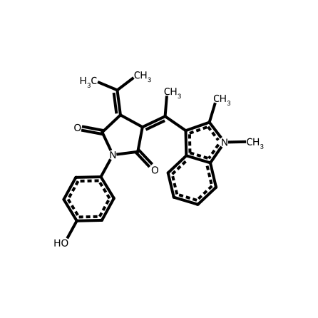 CC(C)=C1C(=O)N(c2ccc(O)cc2)C(=O)C1=C(C)c1c(C)n(C)c2ccccc12